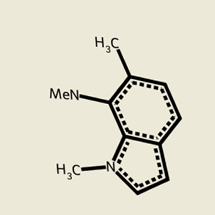 CNc1c(C)ccc2ccn(C)c12